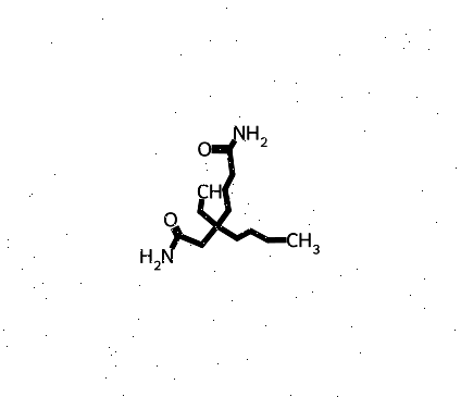 CCCCC(CC)(CCCC(N)=O)CC(N)=O